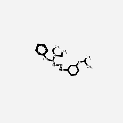 CCN(CC)N(NNNC1CCCC(OC(C)C)C1)Nc1ccccc1